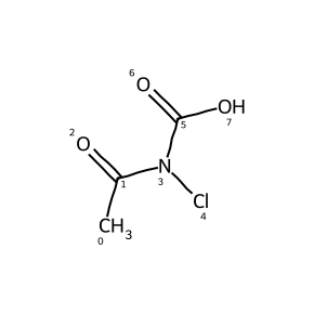 CC(=O)N(Cl)C(=O)O